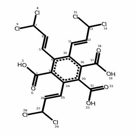 O=C(O)c1c(C=CC(Cl)Cl)c(C=CC(Cl)Cl)c(C(=O)O)c(C(=O)O)c1C=CC(Cl)Cl